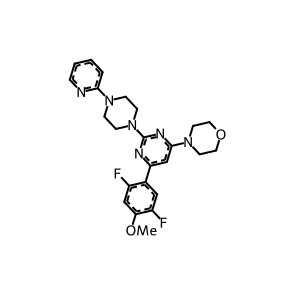 COc1cc(F)c(-c2cc(N3CCOCC3)nc(N3CCN(c4ccccn4)CC3)n2)cc1F